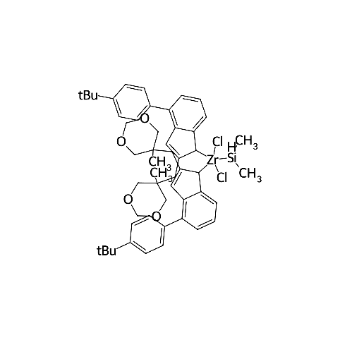 C[SiH](C)[Zr]([Cl])([Cl])([CH]1C(CC2(C)COCOC2)=Cc2c(-c3ccc(C(C)(C)C)cc3)cccc21)[CH]1C(CC2(C)COCOC2)=Cc2c(-c3ccc(C(C)(C)C)cc3)cccc21